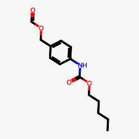 CCCCCOC(=O)Nc1ccc(COC=O)cc1